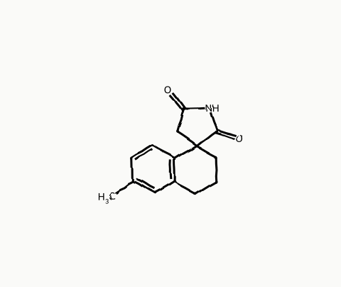 Cc1ccc2c(c1)CCCC21CC(=O)NC1=O